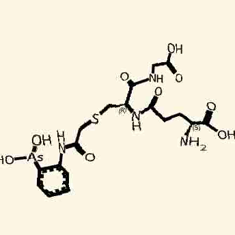 N[C@@H](CCC(=O)N[C@@H](CSCC(=O)Nc1ccccc1[As](O)O)C(=O)NCC(=O)O)C(=O)O